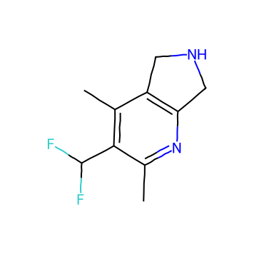 Cc1nc2c(c(C)c1C(F)F)CNC2